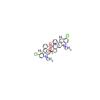 CN1/C(=C/C=C2\CCC(/C=C/C3=[N+](C)c4ccc(Cl)cc4C3(C)C)=C2N(c2ccccc2)S(=O)(=O)c2ccccc2)C(C)(C)c2cc(Cl)ccc21